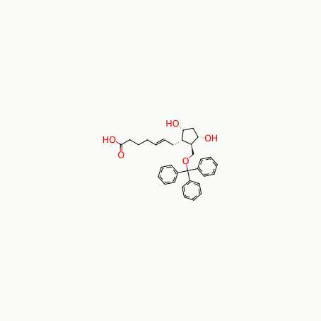 O=C(O)CCCC=CC[C@H]1[C@H](COC(c2ccccc2)(c2ccccc2)c2ccccc2)[C@@H](O)C[C@H]1O